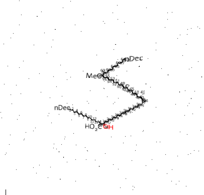 CCCCCCCCCCCCCCCCCCCCCCCC[C@@H](C(=O)O)[C@H](O)CCCCCCCCCCCCCCCCCC[C@H]1C[C@@H]1[C@@H](C)CCCCCCCCCCCCCCC[C@H](OC)[C@@H](C)CCCCCCCCCCCCCCCCCC